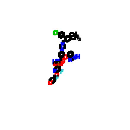 CC1(C)CCC(CN2CCN(c3ccc(C(=O)NS(=O)(=O)c4cnc(OCC5(F)CCOCC5)c(F)c4)c(Oc4cccc5[nH]cnc45)c3)CC2)=C(c2ccc(Cl)cc2)C1